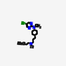 CCN(CCC[C@H]1CC[C@H](N(C)c2ncc(Br)cn2)CC1)CCOC